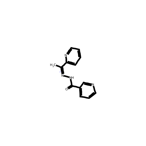 C/C(=N/NC(=O)c1cccnc1)c1ccccn1